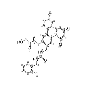 O=C(CO)NCc1nc(-c2ccc(Cl)cc2)c(-c2ccc(Cl)cc2Cl)cc1CNC(=O)NCc1ccccc1F